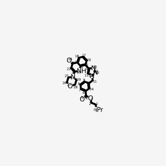 CC(C)CCOC(=O)c1cccc(Cn2cc(-c3cccc4c(=O)cc(N5CCOCC5)[nH]c34)nn2)c1